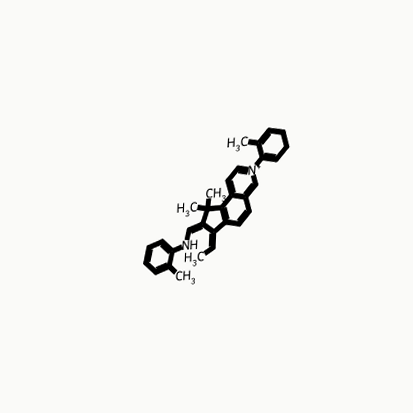 C/C=C1\C(=C/Nc2ccccc2C)C(C)(C)c2c1ccc1c[n+](C3=CCCC=C3C)ccc21